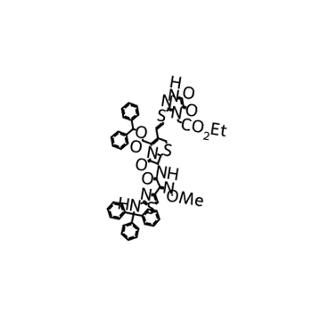 CCOC(=O)Cn1c(SC=CC2=C(C(=O)OC(c3ccccc3)c3ccccc3)N3C(=O)C(NC(=O)C(=NOC)c4csc(NC(c5ccccc5)(c5ccccc5)c5ccccc5)n4)C3SC2)n[nH]c(=O)c1=O